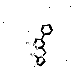 Cc1nccn1Cc1cc(-c2ccccc2)cnn1.Cl